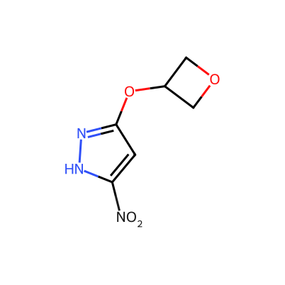 O=[N+]([O-])c1cc(OC2COC2)n[nH]1